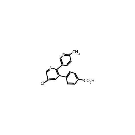 Cc1ccc(-c2ncc(Cl)cc2-c2ccc(C(=O)O)cc2)cn1